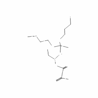 C=C(C)C(=O)OC(CC)[SiH2]C(C)(OCCCC)OCCCC